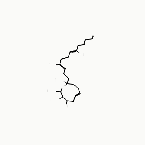 CCCCC/C(C)=C/CC/C(C)=C/CCC1(C)CC/C=C/CC(C)C(C)C(C)O1